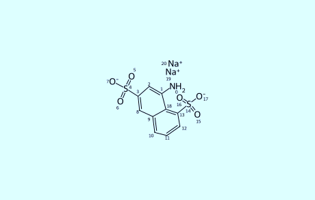 Nc1cc(S(=O)(=O)[O-])cc2cccc(S(=O)(=O)[O-])c12.[Na+].[Na+]